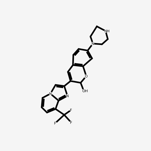 OC1Oc2cc(N3CCNCC3)ccc2C=C1c1cn2cccc(C(F)(F)F)c2n1